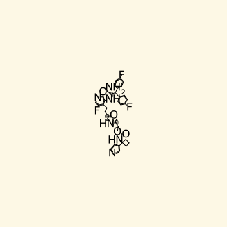 NC(=O)[C@@H](Nc1cncc(F)c1CC[C@@H]1CN[C@H](COC(=O)NC2(c3ccncc3)CCC2)CO1)C(c1ccc(F)cc1)c1ccc(F)cc1